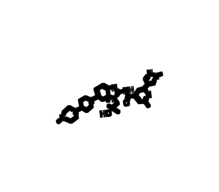 Cc1cc(C(=O)NC2=NC3=CC=C(N4CCC(N5CCN(C)CC5)CC4)CC3(C)N2CC(C)(C)O)cc(-c2cnn(C)c2)n1